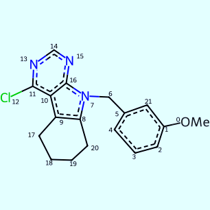 COc1cccc(Cn2c3c(c4c(Cl)ncnc42)CCCC3)c1